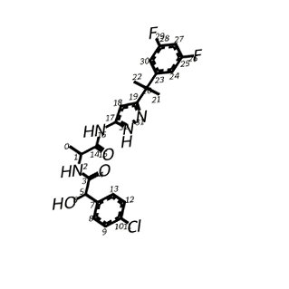 CC(NC(=O)C(O)c1ccc(Cl)cc1)C(=O)Nc1cc(C(C)(C)c2cc(F)cc(F)c2)n[nH]1